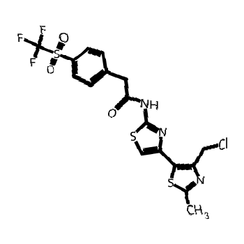 Cc1nc(CCl)c(-c2csc(NC(=O)Cc3ccc(S(=O)(=O)C(F)(F)F)cc3)n2)s1